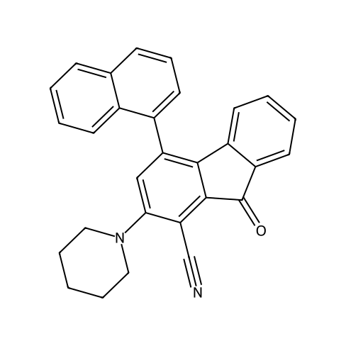 N#Cc1c(N2CCCCC2)cc(-c2cccc3ccccc23)c2c1C(=O)c1ccccc1-2